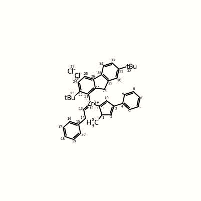 CC1C=C(c2ccccc2)C=[C]1[Zr+2](=[CH]Cc1ccccc1)[c]1c(C(C)(C)C)ccc2c1Cc1cc(C(C)(C)C)ccc1-2.[Cl-].[Cl-]